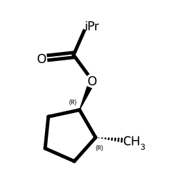 CC(C)C(=O)O[C@@H]1CCC[C@H]1C